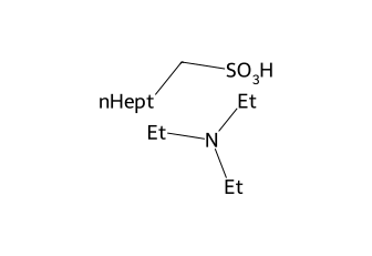 CCCCCCCCS(=O)(=O)O.CCN(CC)CC